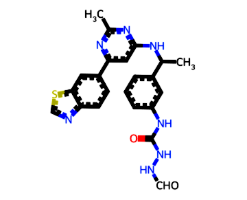 Cc1nc(NC(C)c2cccc(NC(=O)NNC=O)c2)cc(-c2ccc3ncsc3c2)n1